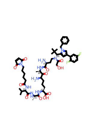 CC(C)[C@H](NC(=O)CCCCCN1C(=O)C=CC1=O)C(=O)N[C@@H](C)C(=O)N[C@@H](CCCC(N)C(=O)[C@@H](C)NC(=O)[C@@H](N)CCN(C(=O)CO)[C@@H](c1cc(-c2cc(F)ccc2F)cn1Cc1ccccc1)C(C)(C)C)C(=O)O